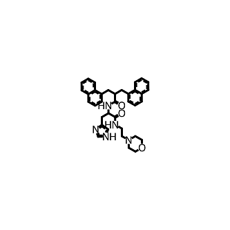 O=C(NC(Cc1c[nH]cn1)C(=O)NCCN1CCOCC1)C(Cc1cccc2ccccc12)Cc1cccc2ccccc12